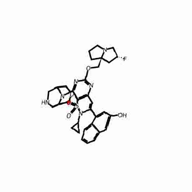 O=S1(=O)c2c(nc(OC[C@@]34CCCN3C[C@H](F)C4)nc2N2C3CNCC2COC3)C=C(c2cc(O)cc3ccccc23)N1C1CC1